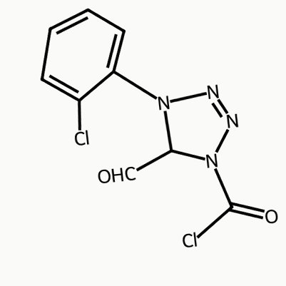 O=CC1N(C(=O)Cl)N=NN1c1ccccc1Cl